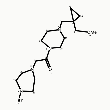 COCC1(CN2CCN(C(=O)CN3CCN(C(C)C)CC3)CC2)CC1